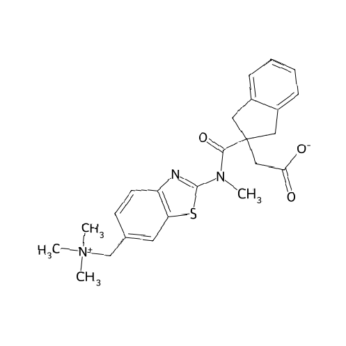 CN(C(=O)C1(CC(=O)[O-])Cc2ccccc2C1)c1nc2ccc(C[N+](C)(C)C)cc2s1